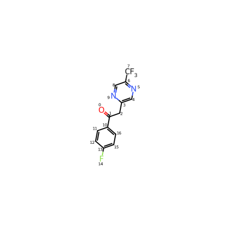 O=C(Cc1cnc(C(F)(F)F)cn1)c1ccc(F)cc1